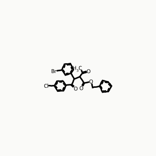 CC(=O)C(C(=O)OCc1ccccc1)C(C(=O)c1ccc(Cl)cc1)c1cccc(Br)c1